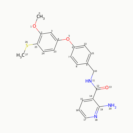 COc1cc(Oc2ccc(CNC(=O)c3cccnc3N)cc2)ccc1SC